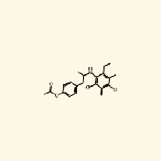 CCc1c(C)c(Cl)c(C)c(Cl)c1NC(C)Cc1ccc(OC(C)=O)cc1